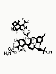 Cn1nc(NS(N)(=O)=O)c2c(Cl)ccc(-c3ccc(C#CC(C)(C)O)nc3[C@H](Cc3cc(F)cc(F)c3)NC(=O)Cn3nc(C(F)F)c4c3C(F)(F)[C@@H]3CC[C@H]43)c21